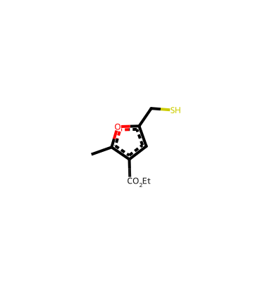 CCOC(=O)c1cc(CS)oc1C